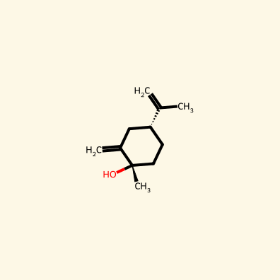 C=C(C)[C@@H]1CC[C@](C)(O)C(=C)C1